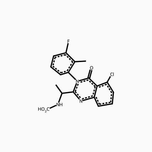 Cc1c(F)cccc1-n1c(C(C)NC(=O)O)nc2cccc(Cl)c2c1=O